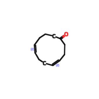 O=C1CC/C=C\CC/C=C\CCC1